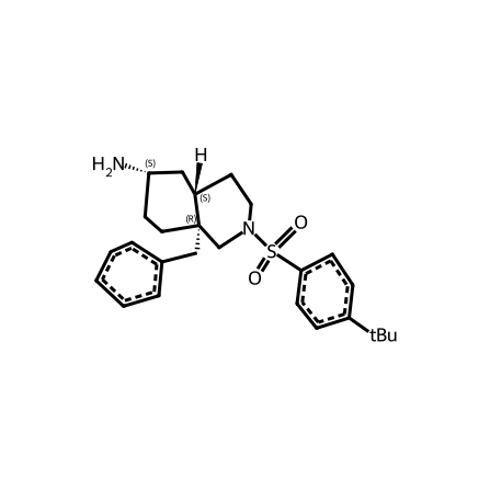 CC(C)(C)c1ccc(S(=O)(=O)N2CC[C@H]3C[C@@H](N)CC[C@]3(Cc3ccccc3)C2)cc1